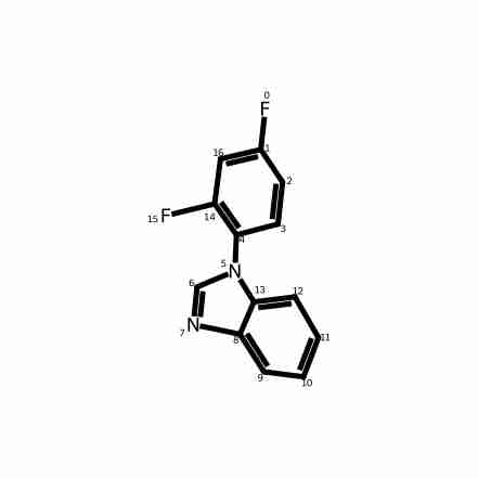 Fc1ccc(-n2cnc3ccccc32)c(F)c1